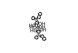 Oc1cc(N(c2ccccc2)c2ccc3ccccc3c2)cc(O)c1C1C(O)C(c2c(O)cc(N(c3ccccc3)c3ccc4ccccc4c3)cc2O)C1O